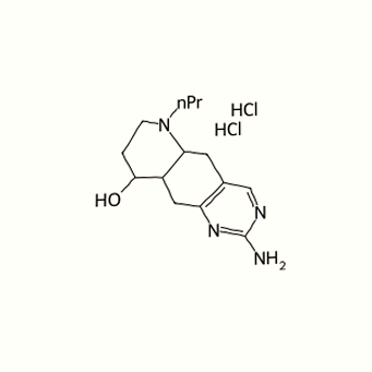 CCCN1CCC(O)C2Cc3nc(N)ncc3CC21.Cl.Cl